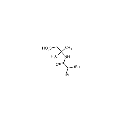 CC(C)C(C(=O)NC(C)(C)CS(=O)(=O)O)C(C)(C)C